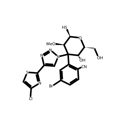 CO[C@H]1[C@@H](S)O[C@H](CO)[C@H](O)C1(c1cc(Br)ccc1C#N)n1cc(-c2nc(Cl)cs2)nn1